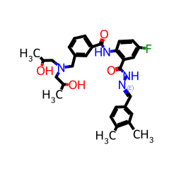 Cc1ccc(/C=N/NC(=O)c2cc(F)ccc2NC(=O)c2cccc(CN(CC(C)O)CC(C)O)c2)cc1C